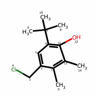 Cc1c(CCl)cc(C(C)(C)C)c(O)c1C